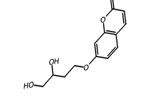 O=c1ccc2ccc(OCCC(O)CO)cc2o1